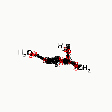 C=CC(=O)OCCCCCCOc1ccc(-c2cc(CC)c3cc(OC(=O)c4ccc(OCCCOC(=O)C=C)c(OCCCOC(=O)C=C)c4)ccc3c2)cc1